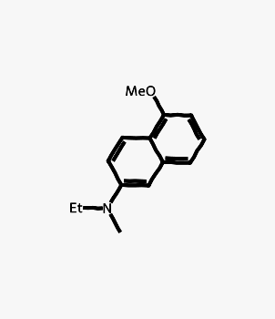 CCN(C)c1ccc2c(OC)cccc2c1